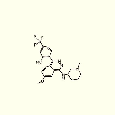 COc1ccc2c(-c3ccc(C(F)(F)F)cc3O)nnc(NC3CCCN(C)C3)c2c1